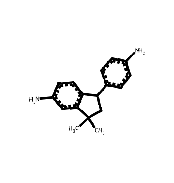 CC1(C)CC(c2ccc(N)cc2)c2ccc(N)cc21